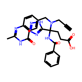 C#CCN(Cc1ccc2nc(C)[nH]c(=O)c2c1)C(CCC(=O)O)(NC(=O)c1ccccc1)c1nnn[nH]1